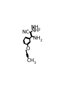 CC#CCOc1cccc(/C(N)=C(\C#N)NN)c1